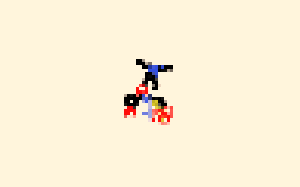 CCCC[N+](CCCC)(CCCC)CCCC.COc1cccc(C(=O)NCc2ccc(S(=O)(=O)[O-])s2)c1